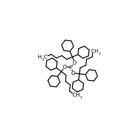 CCCCCC(OP(OC(CCCCC)(C1CCCCC1)C1CCCCC1)OC(CCCCC)(C1CCCCC1)C1CCCCC1)(C1CCCCC1)C1CCCCC1